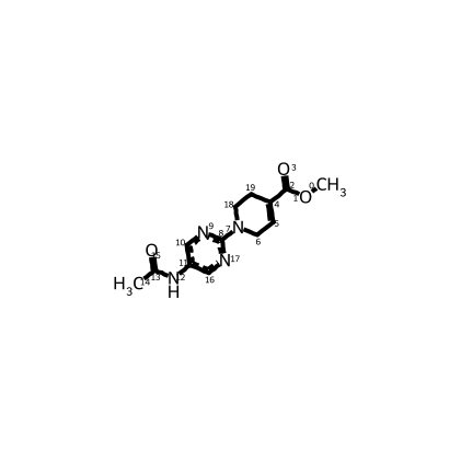 COC(=O)C1=CCN(c2ncc(NC(C)=O)cn2)CC1